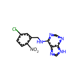 O=[N+]([O-])c1ccc(Cl)cc1CNc1ncnc2[nH]cnc12